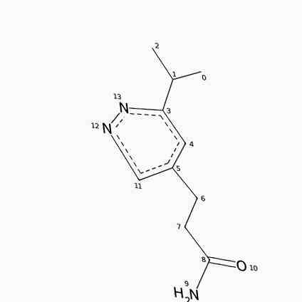 CC(C)c1cc(CCC(N)=O)cnn1